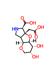 O=C(O)C[C@@]12O[C@H]3[C@H](O)[C@H](O)CO[C@H]3C1CN[C@H]2C(=O)O